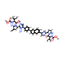 C=C1CC(c2ncc(-c3ccc(-c4ccc5cc(C6=NC(C7CCCN7C(=O)C(NC(=O)OC)C(C)C)=NC6)ccc5c4)cc3)[nH]2)N(C(=O)C(NC(=O)OC)C(C)C)C1